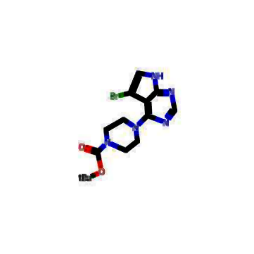 CC(C)(C)OC(=O)N1CCN(c2ncnc3[nH]cc(Br)c23)CC1